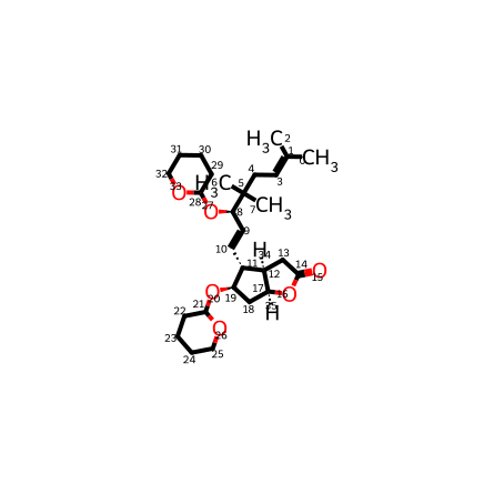 CC(C)=CCC(C)(C)[C@@H](C=C[C@@H]1[C@H]2CC(=O)O[C@H]2C[C@H]1OC1CCCCO1)OC1CCCCO1